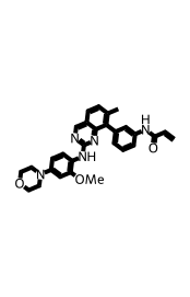 C=CC(=O)Nc1cccc(-c2c(C)ccc3cnc(Nc4ccc(N5CCOCC5)cc4OC)nc23)c1